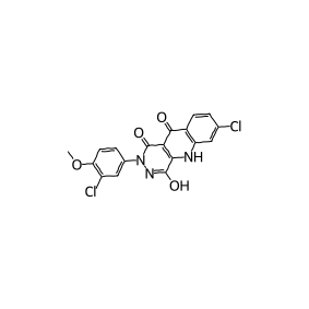 COc1ccc(-n2nc(O)c3[nH]c4cc(Cl)ccc4c(=O)c3c2=O)cc1Cl